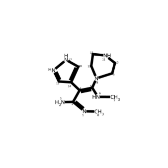 C/N=C(N)\C(=C(/NC)N1CCNCC1)c1cn[nH]c1